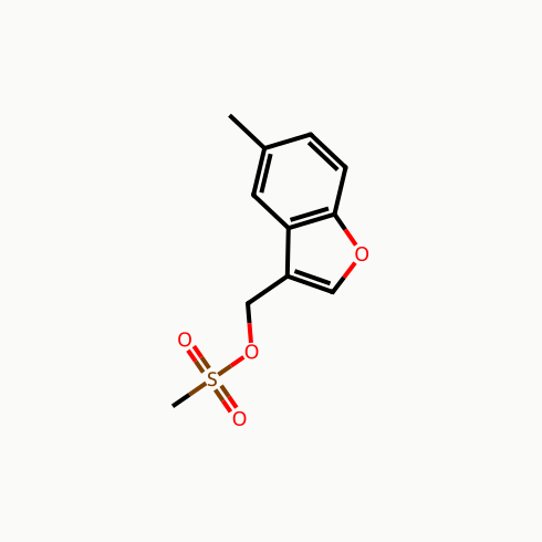 Cc1ccc2occ(COS(C)(=O)=O)c2c1